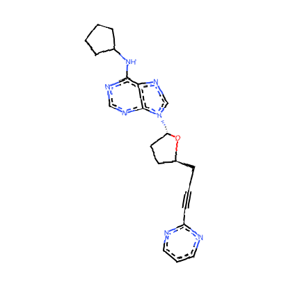 C(#Cc1ncccn1)C[C@H]1CC[C@H](n2cnc3c(NC4CCCC4)ncnc32)O1